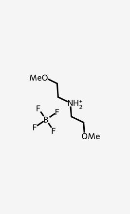 COCC[NH2+]CCOC.F[B-](F)(F)F